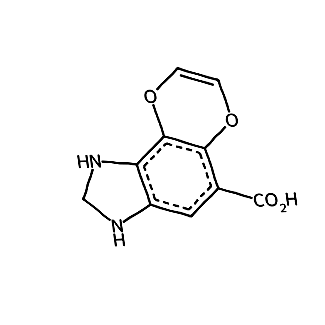 O=C(O)c1cc2c(c3c1OC=CO3)NCN2